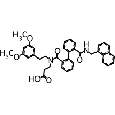 COc1cc(CCN(CCC(=O)O)C(=O)c2ccccc2-c2ccccc2C(=O)NCc2cccc3ccccc23)cc(OC)c1